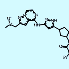 CC(C)NC(=O)OC1CCC(c2cc(Nc3nccn4nc(C[S+](C)[O-])cc34)n[nH]2)C1